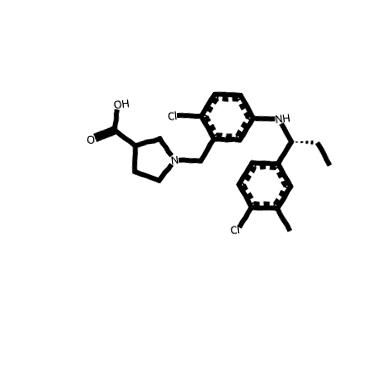 CC[C@@H](Nc1ccc(Cl)c(CN2CCC(C(=O)O)C2)c1)c1ccc(Cl)c(C)c1